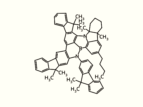 CCCCc1cc2c3c(c1)C1(C)CCCCC1(C)N3c1c3c(cc4c1C(C)(C)c1ccccc1-4)-c1cc4c(cc1N(c1ccc5c(c1)C(C)(C)c1ccccc1-5)B23)C(C)(C)c1ccccc1-4